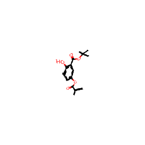 C=C(C)C(=O)Oc1ccc(O)c(C(=O)OC(C)(C)C)c1